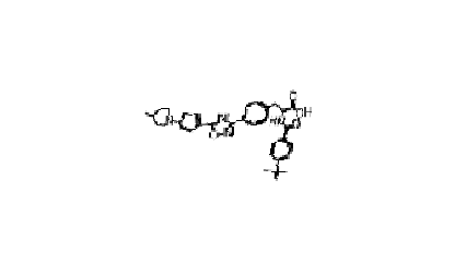 CC1CCN(c2ccc(-c3nc(-c4ccc(CC(NC(=O)c5ccc(C(C)(C)C)cc5)C(=O)O)cc4)no3)cc2)CC1